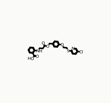 O=C(CCNc1ccccc1C(=O)O)OCc1ccc(OCCSc2ccc(Cl)cn2)cc1